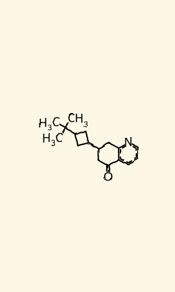 CC(C)(C)C1CC(C2CC(=O)c3cccnc3C2)C1